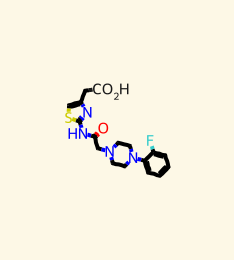 O=C(O)Cc1csc(NC(=O)CN2CCN(c3ccccc3F)CC2)n1